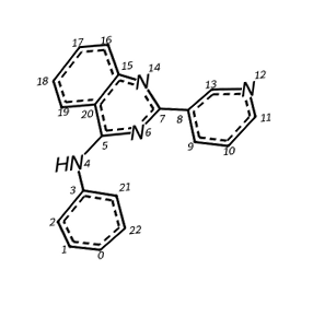 c1ccc(Nc2nc(-c3cccnc3)nc3ccccc23)cc1